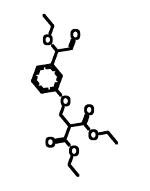 CCOC(=O)C(COc1cccc(C(C=O)OCC)c1)C(=O)OCC